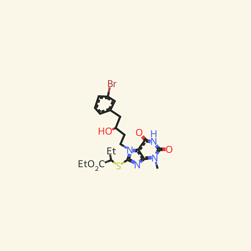 CCOC(=O)C(CC)Sc1nc2c(c(=O)[nH]c(=O)n2C)n1CCC(O)Cc1cccc(Br)c1